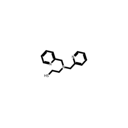 SCCN(Cc1ccccn1)Cc1ccccn1